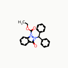 CCOC(=O)n1c2ccccc2c(=O)n1C(c1ccccc1)c1ccccc1